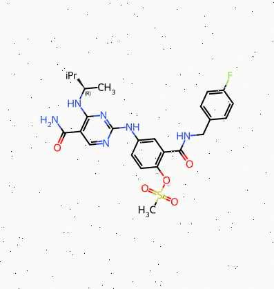 CC(C)[C@@H](C)Nc1nc(Nc2ccc(OS(C)(=O)=O)c(C(=O)NCc3ccc(F)cc3)c2)ncc1C(N)=O